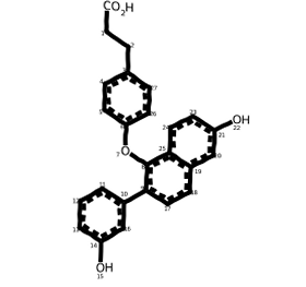 O=C(O)CCc1ccc(Oc2c(-c3cccc(O)c3)ccc3cc(O)ccc23)cc1